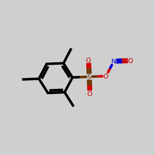 Cc1cc(C)c(S(=O)(=O)ON=O)c(C)c1